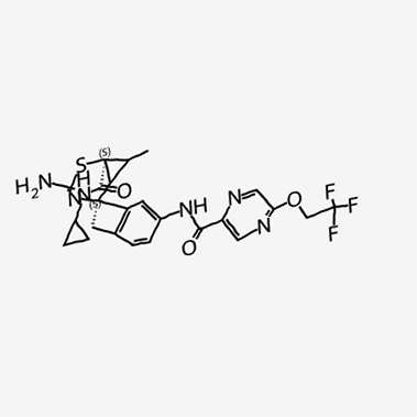 CC1C2[C@@]1(C(=O)NC1CC1)SC(N)=N[C@@]21Cc2ccc(NC(=O)c3cnc(OCC(F)(F)F)cn3)cc21